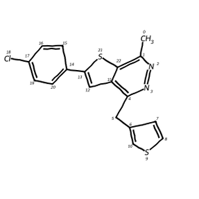 Cc1nnc(Cc2ccsc2)c2cc(-c3ccc(Cl)cc3)sc12